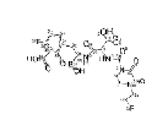 CC(O)C(NC(=O)N1CCN(CCF)C(=O)C1=O)C(=O)N[C@H]1Cc2ccc(F)c(C(=O)O)c2OB1O